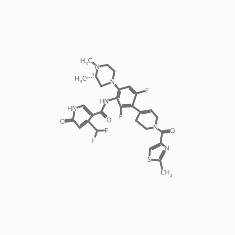 Cc1nc(C(=O)N2CC=C(c3c(F)cc(N4CCN(C)[C@@H](C)C4)c(NC(=O)c4c[nH]c(=O)cc4C(F)F)c3F)CC2)cs1